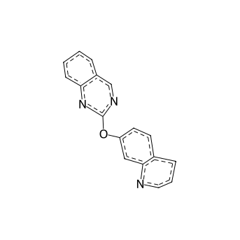 c1cnc2cc(Oc3ncc4ccccc4n3)ccc2c1